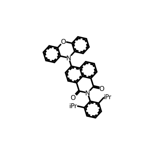 CC(C)c1cccc(C(C)C)c1N1C(=O)c2cccc3c(N4c5ccccc5Oc5ccccc54)ccc(c23)C1=O